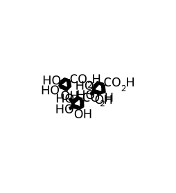 O=C(O)c1cc(O)c(O)c(O)c1.O=C(O)c1cc(O)c(O)c(O)c1.O=C(O)c1cc(O)c(O)c(O)c1